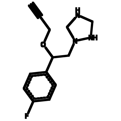 C#CCOC(CN1CNCN1)c1ccc(F)cc1